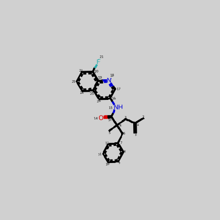 C=C(C)CC(C)(Cc1ccccc1)C(=O)Nc1cnc2c(F)cccc2c1